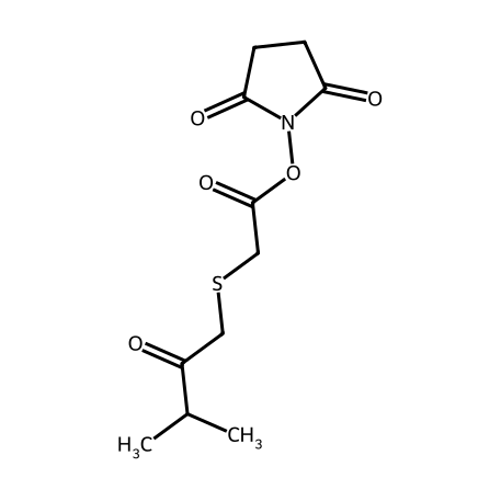 CC(C)C(=O)CSCC(=O)ON1C(=O)CCC1=O